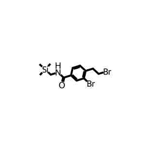 C[Si](C)(C)CNC(=O)c1ccc(CCBr)c(Br)c1